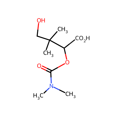 CN(C)C(=O)OC(C(=O)O)C(C)(C)CO